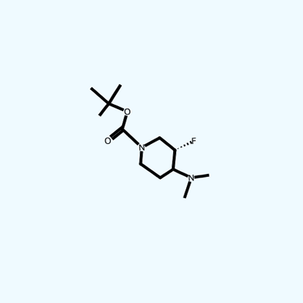 CN(C)C1CCN(C(=O)OC(C)(C)C)C[C@@H]1F